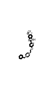 FC(F)(F)Oc1ccc2[nH]c(-c3ccc(OCCN4CCN(Cc5ccccc5)CC4)cn3)nc2c1